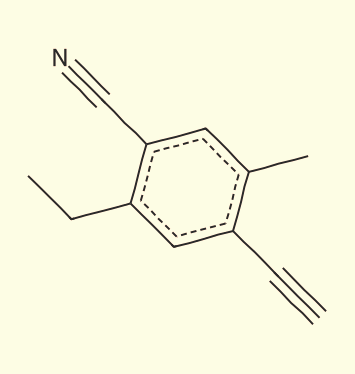 C#Cc1cc(CC)c(C#N)cc1C